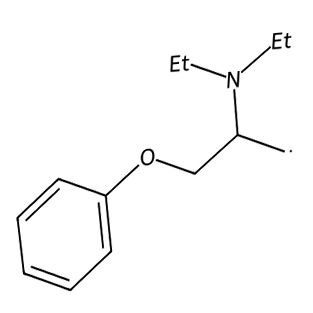 [CH2]C(COc1ccccc1)N(CC)CC